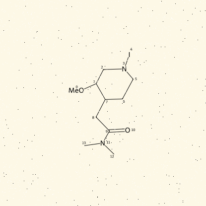 COC1CN(I)CCC1CC(=O)N(C)C